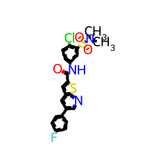 CN(C)S(=O)(=O)c1cc(NC(=O)c2cc3cc(-c4ccc(F)cc4)cnc3s2)ccc1Cl